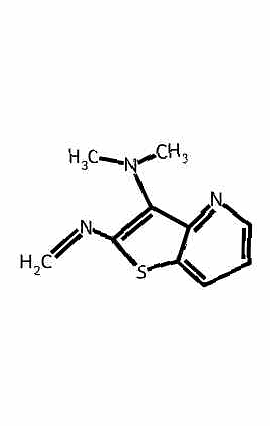 C=Nc1sc2cccnc2c1N(C)C